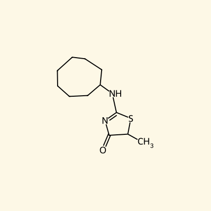 CC1SC(NC2CCCCCCC2)=NC1=O